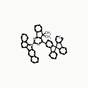 CC1(C)c2ccccc2-c2nc(-n3c4cc5ccccc5cc4c4ccc5ccccc5c43)nc(-c3ccc4c(c3)-c3ccccc3C43c4ccccc4-c4ccccc43)c21